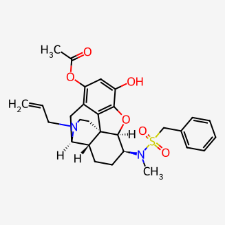 C=CCN1CC[C@]23c4c5c(OC(C)=O)cc(O)c4O[C@H]2[C@@H](N(C)S(=O)(=O)Cc2ccccc2)CC[C@@H]3[C@H]1C5